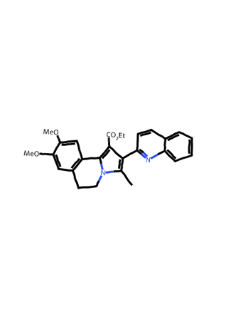 CCOC(=O)c1c(-c2ccc3ccccc3n2)c(C)n2c1-c1cc(OC)c(OC)cc1CC2